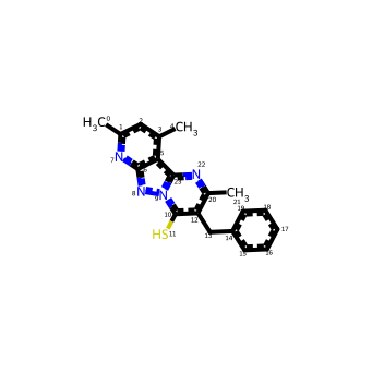 Cc1cc(C)c2c(n1)nn1c(S)c(Cc3ccccc3)c(C)nc21